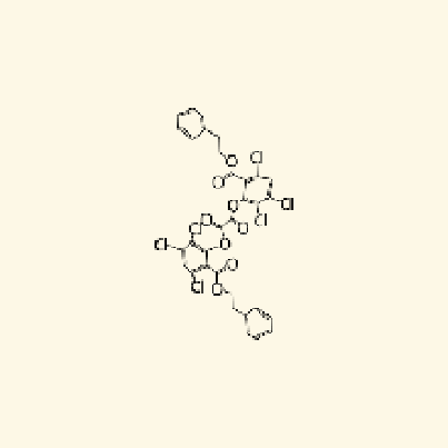 O=C(Oc1c(Cl)c(Cl)cc(Cl)c1C(=O)OCCc1ccccc1)C(=O)Oc1c(Cl)c(Cl)cc(Cl)c1C(=O)OCCc1ccccc1